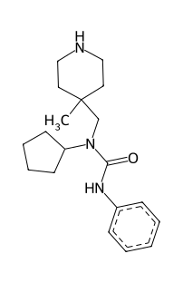 CC1(CN(C(=O)Nc2ccccc2)C2CCCC2)CCNCC1